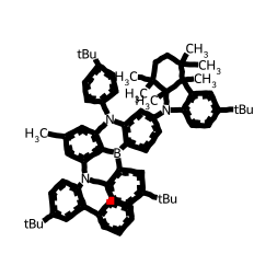 Cc1cc2c3c(c1)N(c1ccc(C(C)(C)C)cc1-c1ccccc1)c1ccc(C(C)(C)C)cc1B3c1ccc(N3c4ccc(C(C)(C)C)cc4C4(C)C(C)(C)CCC(C)(C)C34C)cc1N2c1ccc(C(C)(C)C)cc1